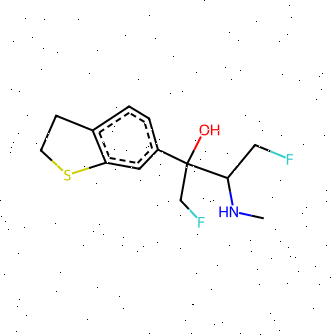 CNC(CF)C(O)(CF)c1ccc2c(c1)SCC2